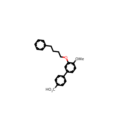 COc1ccc(-c2ccc(C(=O)O)cc2)cc1OCCCCc1ccccc1